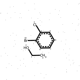 CCO.Clc1ccccc1Br